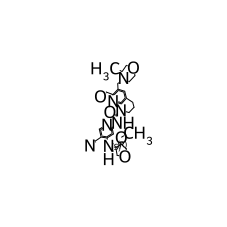 CO[C@H]1COC[C@@H]1Nc1cc(NC(=O)N2CCCc3cc(CN4CCOCC4C)c(C=O)nc32)ncc1C#N